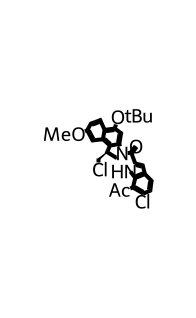 COc1ccc2c(OC(C)(C)C)cc3c(c2c1)[C@H](CCl)CN3C(=O)c1cc2ccc(Cl)c(C(C)=O)c2[nH]1